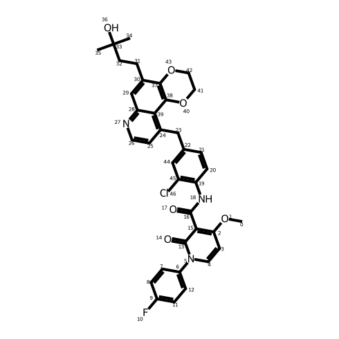 COc1ccn(-c2ccc(F)cc2)c(=O)c1C(=O)Nc1ccc(Cc2ccnc3cc(CCC(C)(C)O)c4c(c23)OCCO4)cc1Cl